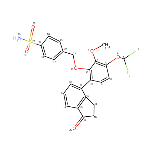 COc1c(OC(F)F)ccc(-c2cccc3c2CCC3=O)c1OCc1ccc(S(N)(=O)=O)cc1